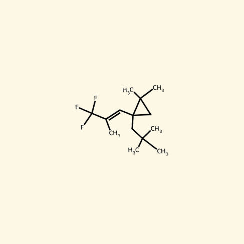 C/C(=C\C1(CC(C)(C)C)CC1(C)C)C(F)(F)F